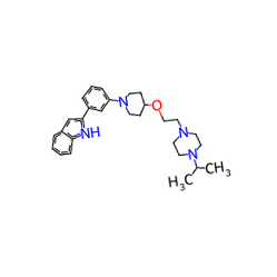 CC(C)N1CCN(CCOC2CCN(c3cccc(-c4cc5ccccc5[nH]4)c3)CC2)CC1